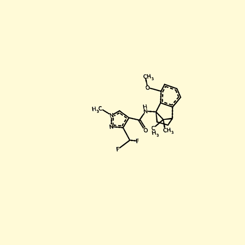 COc1cccc2c1C1(NC(=O)c3cn(C)nc3C(F)F)CCC2C1(C)C